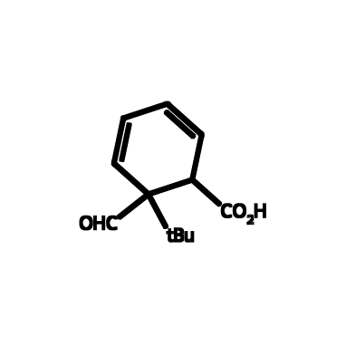 CC(C)(C)C1(C=O)C=CC=CC1C(=O)O